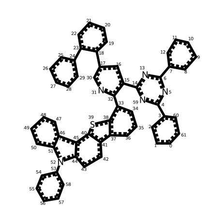 c1ccc(-c2nc(-c3ccccc3)nc(-c3cc(-c4ccccc4-c4ccccc4)cnc3-c3cccc4c3sc3c4ccc4c3c3ccccc3n4-c3ccccc3)n2)cc1